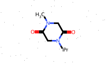 CC(C)N1CC(=O)N(C)CC1=O